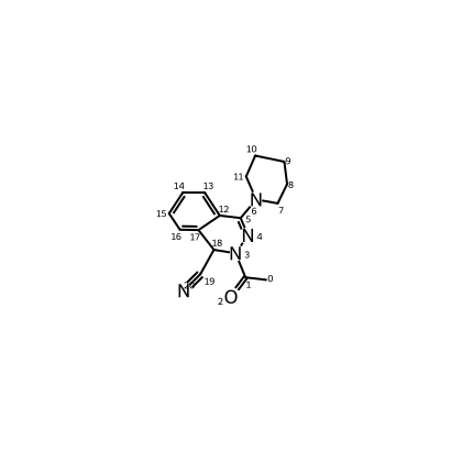 CC(=O)N1N=C(N2CCCCC2)c2ccccc2C1C#N